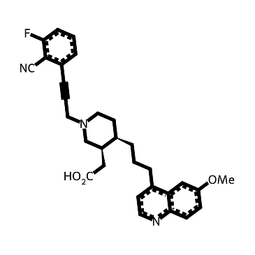 COc1ccc2nccc(CCC[C@@H]3CCN(CC#Cc4cccc(F)c4C#N)C[C@@H]3CC(=O)O)c2c1